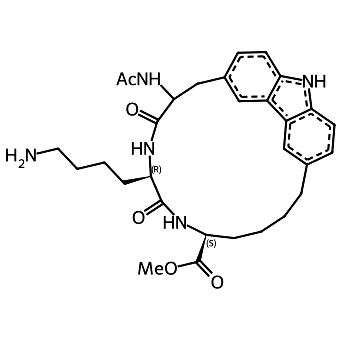 COC(=O)[C@@H]1CCCCc2ccc3[nH]c4ccc(cc4c3c2)CC(NC(C)=O)C(=O)N[C@H](CCCCN)C(=O)N1